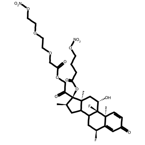 C[C@@H]1CC2C3C[C@H](F)C4=CC(=O)C=C[C@]4(C)[C@@]3(F)[C@@H](O)C[C@]2(C)[C@@]1(OC(=O)CCCO[N+](=O)[O-])C(=O)COC(=O)COCCOCCO[N+](=O)[O-]